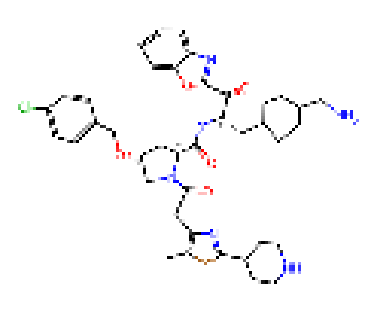 Cc1sc(C2CCNCC2)nc1CC(=O)N1C[C@H](OCc2ccc(Cl)cc2)C[C@H]1C(=O)N[C@@H](CC1CCC(CN)CC1)C(=O)c1nc2ccccc2o1